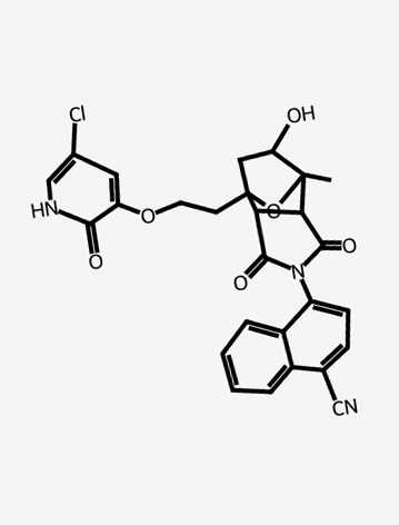 CC12OC(CCOc3cc(Cl)c[nH]c3=O)(CC1O)C1C(=O)N(c3ccc(C#N)c4ccccc34)C(=O)C12